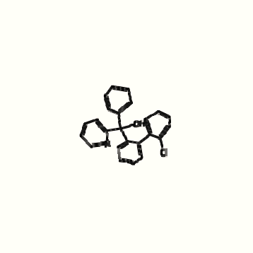 OC(c1ccccc1)(c1ccccn1)c1ccccc1-c1ccccc1Cl